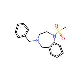 CS(=O)(=O)N1CCN(Cc2ccccc2)Cc2ccccc21